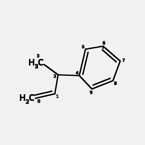 C=CC(C)c1c[c]ccc1